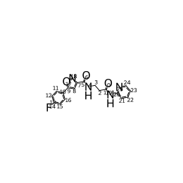 O=C(CCNC(=O)c1cc(-c2ccc(F)cc2)on1)Nc1ccccn1